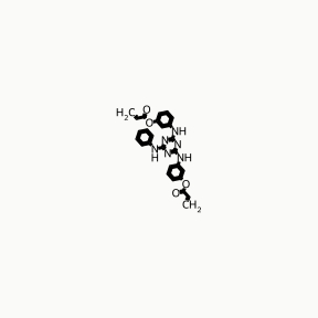 C=CC(=O)Oc1cccc(Nc2nc(Nc3ccccc3)nc(Nc3cccc(OC(=O)C=C)c3)n2)c1